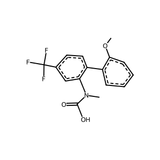 COc1ccccc1-c1ccc(C(F)(F)F)cc1N(C)C(=O)O